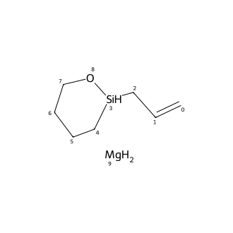 C=CC[SiH]1CCCCO1.[MgH2]